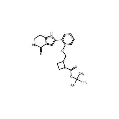 CC(C)(C)OC(=O)N1CC[C@H]1COc1cnccc1-c1cc2c([nH]1)CCNC2=O